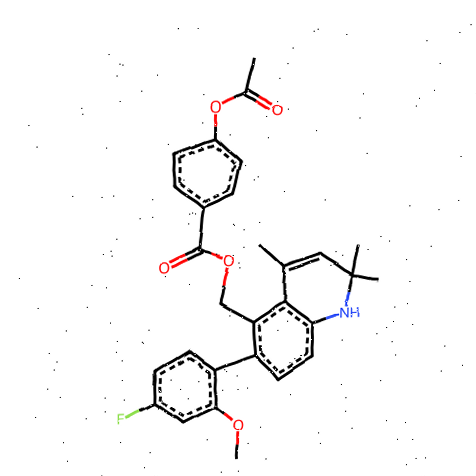 COc1cc(F)ccc1-c1ccc2c(c1COC(=O)c1ccc(OC(C)=O)cc1)C(C)=CC(C)(C)N2